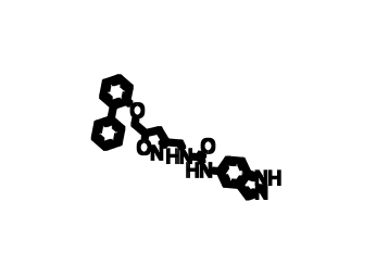 O=C(NCC1=NOC(COc2ccccc2-c2ccccc2)C1)Nc1ccc2[nH]ncc2c1